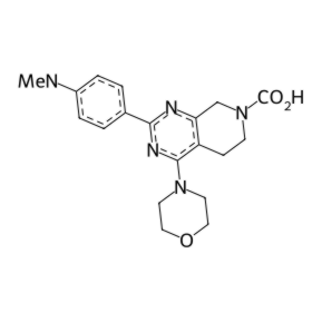 CNc1ccc(-c2nc3c(c(N4CCOCC4)n2)CCN(C(=O)O)C3)cc1